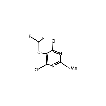 CNc1nc(Cl)c(OC(F)F)c(Cl)n1